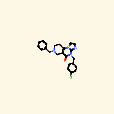 O=c1c2c(n3ccnc3n1Cc1ccc(Cl)cc1)CCN(Cc1ccccc1)C2